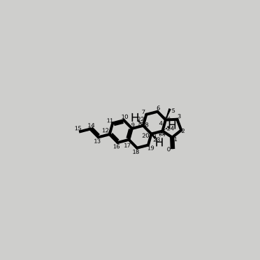 C=C1CC[C@@]2(C)CC[C@@H]3c4ccc(C=CC)cc4CC[C@H]3[C@H]12